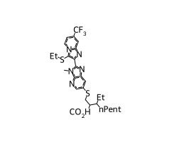 CCCCCC(CC)C(CSc1cnc2c(c1)nc(-c1nc3cc(C(F)(F)F)ccn3c1SCC)n2C)C(=O)O